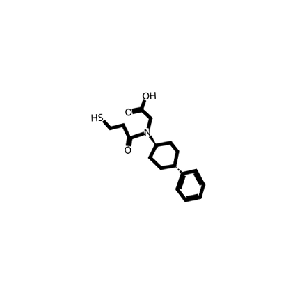 O=C(O)CN(C(=O)CCS)[C@H]1CC[C@H](c2ccccc2)CC1